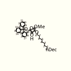 CCCCCCCCCCCCCCCCCCO[C@H]1[C@H](OC)O[C@H](COC(c2ccccc2)(c2ccccc2)c2ccccc2)[C@@H]1O